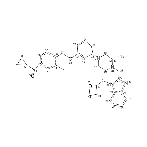 Cc1cc(C(=O)C2CC2)ccc1COC1=NC(N2CCN(Cc3nc4ccccc4n3CC3CCO3)[C@@H](C)C2)CC=C1